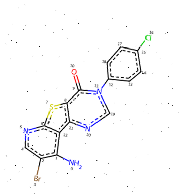 Nc1c(Br)cnc2sc3c(=O)n(-c4ccc(Cl)cc4)cnc3c12